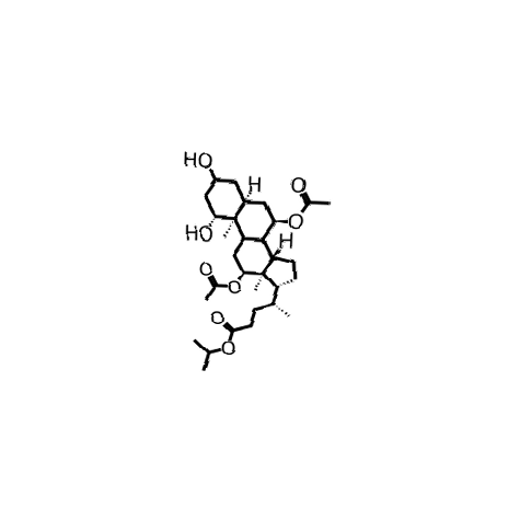 CC(=O)O[C@H]1CC2C([C@H](OC(C)=O)C[C@@H]3CC(O)C[C@@H](O)[C@]23C)[C@@H]2CC[C@H]([C@H](C)CCC(=O)OC(C)C)[C@@]12C